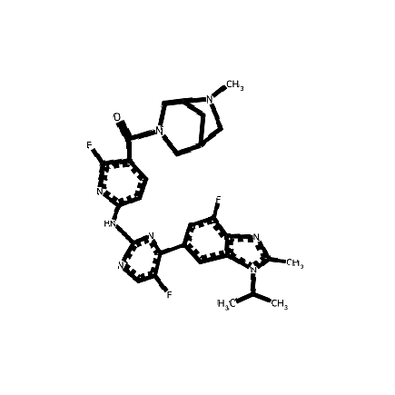 Cc1nc2c(F)cc(-c3nc(Nc4ccc(C(=O)N5CC6CC(C5)N(C)C6)c(F)n4)ncc3F)cc2n1C(C)C